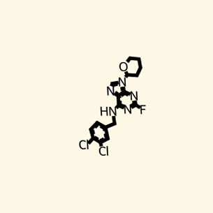 Fc1nc(NCc2ccc(Cl)c(Cl)c2)c2ncn(C3CCCCO3)c2n1